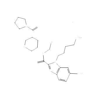 COCCCCn1c(C(=O)N(CC(C)C)[C@@H]2CNC[C@H](C(=O)N3CCCC3)C2)nc2ccc(OC)cc21.Cl.Cl